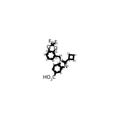 O=C(O)c1ccc2c(c1)nc(C1CCC1)n2Cc1cccc2c1OC(F)(F)O2